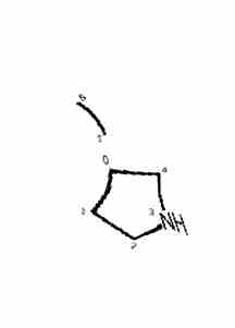 C1CCNC1.CC